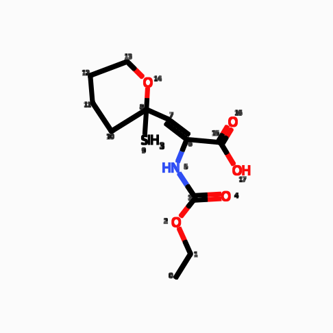 CCOC(=O)NC(=CC1([SiH3])CCCCO1)C(=O)O